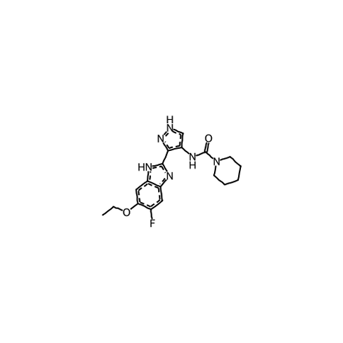 CCOc1cc2[nH]c(-c3n[nH]cc3NC(=O)N3CCCCC3)nc2cc1F